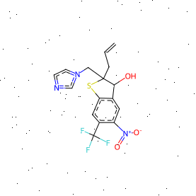 C=CCC1(Cn2ccnc2)Sc2cc(C(F)(F)F)c([N+](=O)[O-])cc2C1O